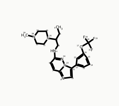 CCC(CNc1ccc2ncc(-c3cccc(OC(F)(F)F)c3)n2n1)N1CCN(C)CC1